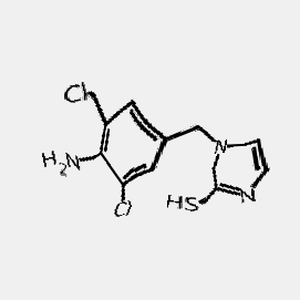 Nc1c(Cl)cc(Cn2ccnc2S)cc1Cl